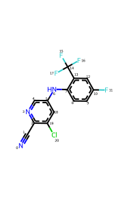 N#Cc1ncc(Nc2ccc(F)cc2C(F)(F)F)cc1Cl